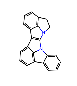 c1cc2c3c(c1)c1c4cccc5c6ccccc6n(c54)c1n3CC2